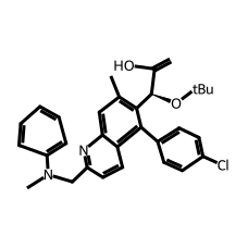 C=C(O)[C@@H](OC(C)(C)C)c1c(C)cc2nc(CN(C)c3ccccc3)ccc2c1-c1ccc(Cl)cc1